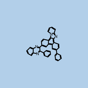 c1ccc(-c2ccc3c(c2)c2cc(-c4nc5ccccc5nc4-c4ccccc4)ccc2c2c3nc3ccccn32)cc1